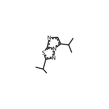 CC(C)c1nn2c(C(C)C)cnc2s1